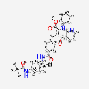 COC(=O)c1c(Cc2ccc(C(=O)NC3C4CC5C[C@@H]3CC(NC(=O)C(C)(C)C)(C5)C4)cc2)c(=O)c2cccnc2n1-c1ccccc1